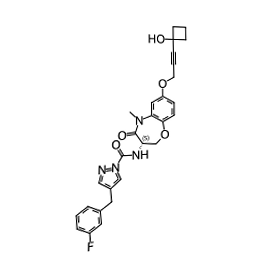 CN1C(=O)[C@@H](NC(=O)n2cc(Cc3cccc(F)c3)cn2)COc2ccc(OCC#CC3(O)CCC3)cc21